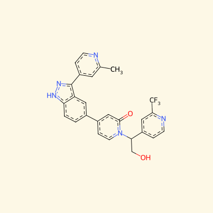 Cc1cc(-c2n[nH]c3ccc(-c4ccn(C(CO)c5ccnc(C(F)(F)F)c5)c(=O)c4)cc23)ccn1